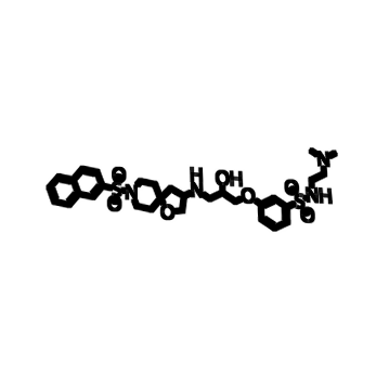 CN(C)CCNS(=O)(=O)c1cccc(OCC(O)CNC2COC3(CCN(S(=O)(=O)c4ccc5ccccc5c4)CC3)C2)c1